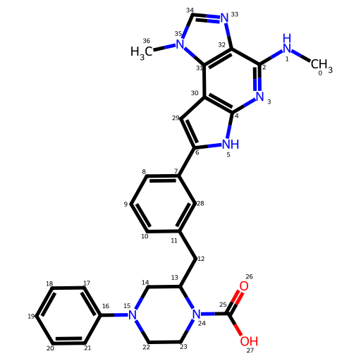 CNc1nc2[nH]c(-c3cccc(CC4CN(c5ccccc5)CCN4C(=O)O)c3)cc2c2c1ncn2C